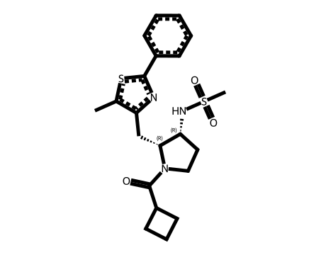 Cc1sc(-c2ccccc2)nc1C[C@@H]1[C@H](NS(C)(=O)=O)CCN1C(=O)C1CCC1